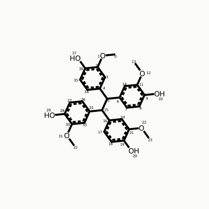 COc1cc(C(c2ccc(O)c(OC)c2)C(c2ccc(O)c(OC)c2)c2ccc(O)c(OC)c2)ccc1O